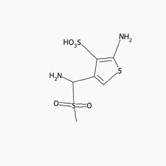 CS(=O)(=O)C(N)c1csc(N)c1S(=O)(=O)O